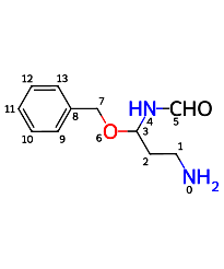 NCCC(NC=O)OCc1ccccc1